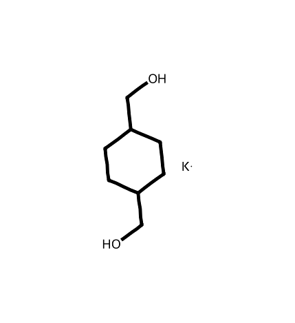 OCC1CCC(CO)CC1.[K]